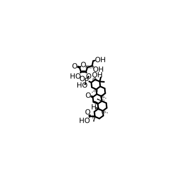 CC1(C)C2CC[C@]3(C)C(C(=O)C=C4[C@H]5C[C@@](C)(C(=O)O)CC[C@]5(C)CC[C@]43C)[C@@]2(C)CC(P(=O)(O)OC2=C(O)C(=O)O[C@@H]2[C@@H](O)CO)[C@@H]1O